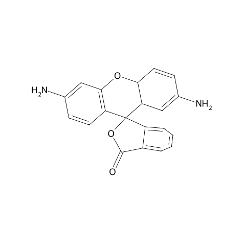 NC1=CC2C(C=C1)Oc1cc(N)ccc1C21OC(=O)c2ccccc21